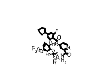 NC(=O)c1cc(NC(=O)c2c(F)cc(C3=CCCCC3)cc2Oc2ccc(OC(F)(F)F)cc2OC(S)(S)S)ccn1